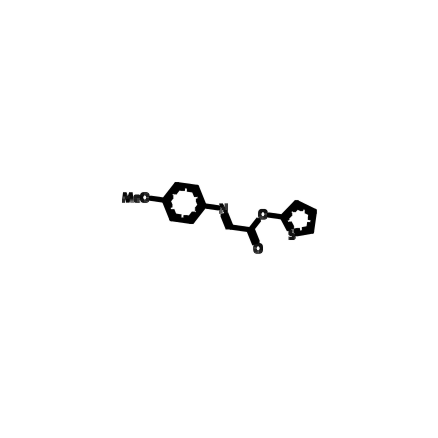 COc1ccc(N=CC(=O)Oc2cccs2)cc1